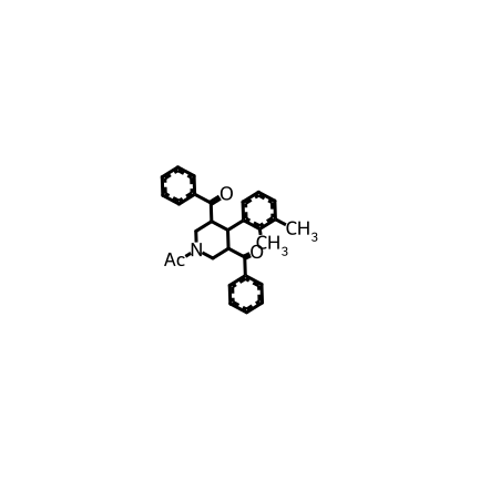 CC(=O)N1CC(C(=O)c2ccccc2)C(c2cccc(C)c2C)C(C(=O)c2ccccc2)C1